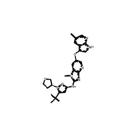 Cc1cnc2[nH]cc(Oc3cnc4nc(Nc5cc(C(C)(C)C)n([C@H]6CCOC6)n5)n(C)c4c3)c2c1